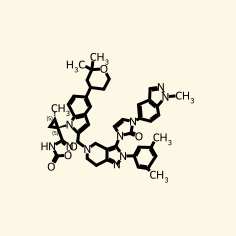 Cc1cc(C)cc(-n2nc3c(c2-n2ccn(-c4ccc5c(cnn5C)c4)c2=O)CN(C(=O)c2cc4cc(C5CCOC(C)(C)C5)ccc4n2[C@@]2(c4noc(=O)[nH]4)C[C@@H]2C)CC3)c1